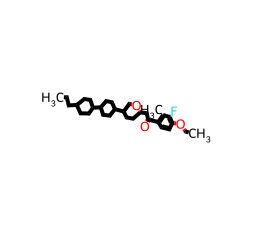 CCCC1CCC(C2CCC(C3CCC(CC(=O)c4ccc(OCC)c(F)c4C)OC3)CC2)CC1